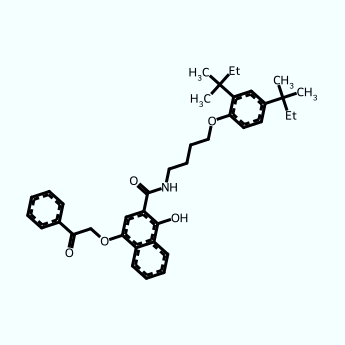 CCC(C)(C)c1ccc(OCCCCNC(=O)c2cc(OCC(=O)c3ccccc3)c3ccccc3c2O)c(C(C)(C)CC)c1